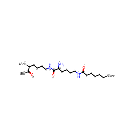 CCCCCCCCCCCCCCCC(=O)NCCCCC(N)C(=O)NCCCCC(NC)C(=O)C(C)(C)C